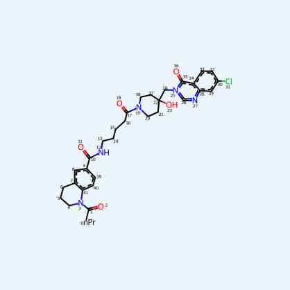 CCCC(=O)N1CCCc2cc(C(=O)NCCCCC(=O)N3CCC(O)(Cn4cnc5cc(Cl)ccc5c4=O)CC3)ccc21